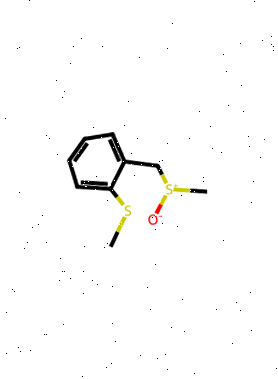 CSc1ccccc1C[S+](C)[O-]